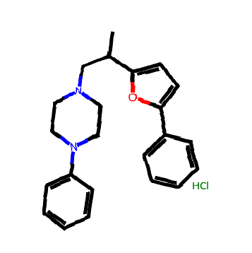 CC(CN1CCN(c2ccccc2)CC1)c1ccc(-c2ccccc2)o1.Cl